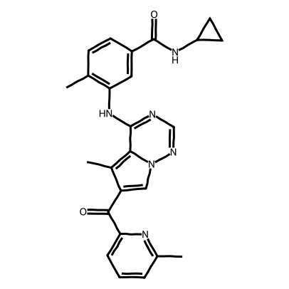 Cc1cccc(C(=O)c2cn3ncnc(Nc4cc(C(=O)NC5CC5)ccc4C)c3c2C)n1